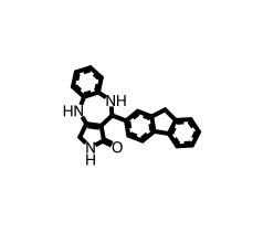 O=C1NCC2=C1C(c1ccc3c(c1)Cc1ccccc1-3)Nc1ccccc1N2